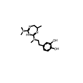 CC1CN=C(N(C)C)NC(N(C)CCc2ccc(O)c(O)c2)=N1